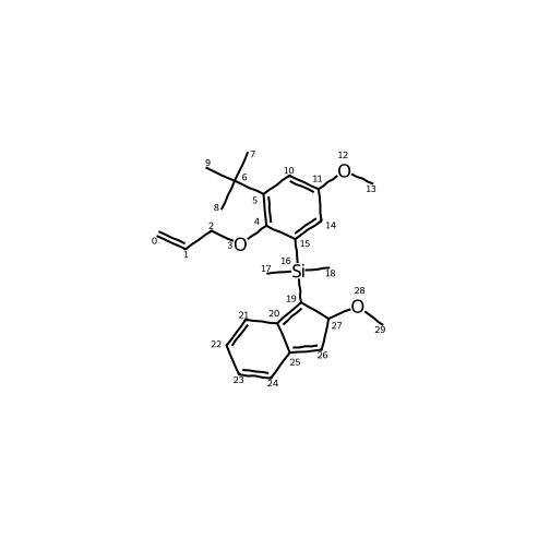 C=CCOc1c(C(C)(C)C)cc(OC)cc1[Si](C)(C)C1=c2ccccc2=CC1OC